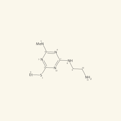 CCSc1nc(NC)nc(NCCN)n1